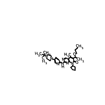 C=C(OCCCC)c1c(C)c2cnc(Nc3ccc(N4CCN(C(C)(C)C)CC4)cn3)nc2n(C2CCCC2)c1=O